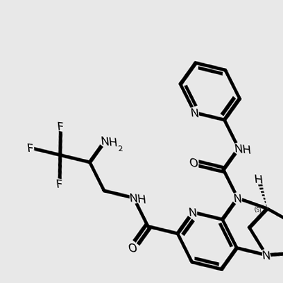 NC(CNC(=O)c1ccc2c(n1)N(C(=O)Nc1ccccn1)[C@H]1CCN2C1)C(F)(F)F